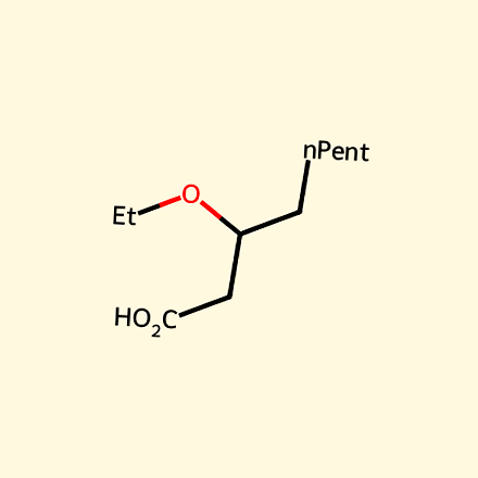 CCCCCCC(CC(=O)O)OCC